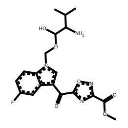 COC(=O)c1noc(C(=O)c2cn(COC(O)C(N)C(C)C)c3ccc(F)cc23)n1